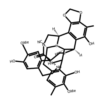 COc1cc2c(cc1O)CCN[C@]21CS[C@@H]2c3c(O)c(C)c4c(c3[C@H](COC1=O)N1[C@@H]2C2NC(Cc3cc(C)c(OC)c(O)c32)[C@@H]1C#N)OCO4